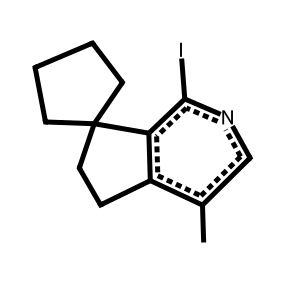 Cc1cnc(I)c2c1CCC21CCCC1